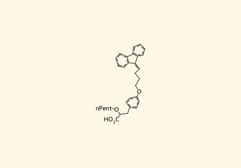 CCCCCOC(Cc1ccc(OCCCC=C2c3ccccc3-c3ccccc32)cc1)C(=O)O